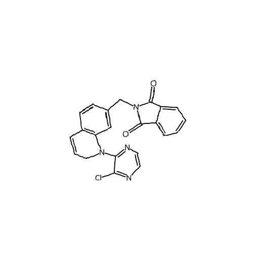 O=C1c2ccccc2C(=O)N1Cc1ccc2c(c1)N(c1nccnc1Cl)CC=C2